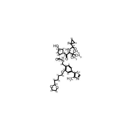 Cc1ncsc1-c1ccc(CNC(=O)[C@@H]2C[C@@H](O)CN2C(=O)[C@@H](NC(=O)C2(F)CC2)C(C)(C)C)c(OCCCCC2OCCO2)c1